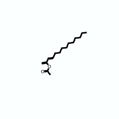 C=C(/C=C/CCCCCCCCCC)OC(C)=O